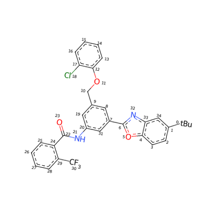 CC(C)(C)c1ccc2oc(-c3cc(COc4ccccc4Cl)cc(NC(=O)c4ccccc4C(F)(F)F)c3)nc2c1